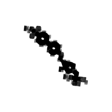 CC(C)(O)CN1CC2[C@@H](COc3ccc(-c4ccc(S(C)(=O)=O)cc4)nc3)[C@@H]2C1